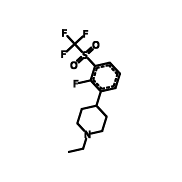 CCN1CCC(c2cccc(S(=O)(=O)C(F)(F)F)c2F)CC1